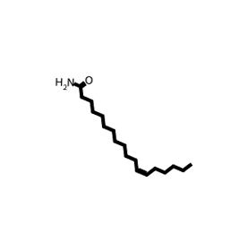 CCCCC/C=C\CCCCCCCCCCC(N)=O